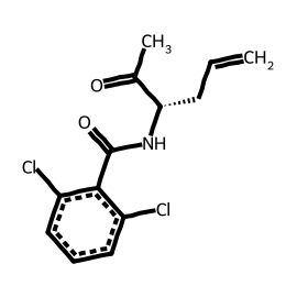 C=CC[C@H](NC(=O)c1c(Cl)cccc1Cl)C(C)=O